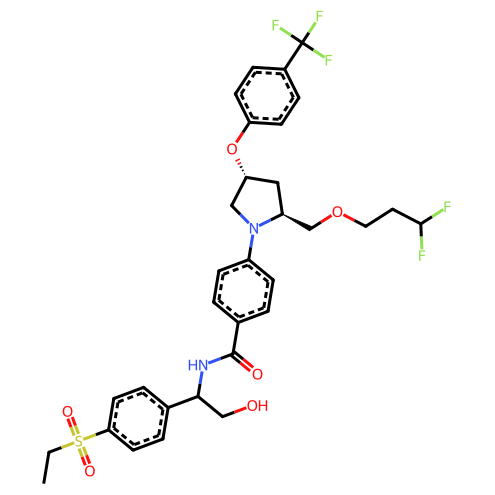 CCS(=O)(=O)c1ccc(C(CO)NC(=O)c2ccc(N3C[C@H](Oc4ccc(C(F)(F)F)cc4)C[C@H]3COCCC(F)F)cc2)cc1